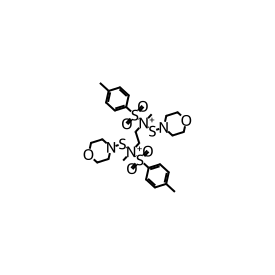 Cc1ccc(S(=O)(=O)[N+](C)(CC[N+](C)(SN2CCOCC2)S(=O)(=O)c2ccc(C)cc2)SN2CCOCC2)cc1